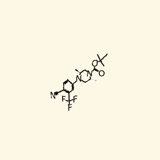 C[C@@H]1CN(c2ccc(C#N)c(C(F)(F)F)c2)[C@@H](C)CN1C(=O)OC(C)(C)C